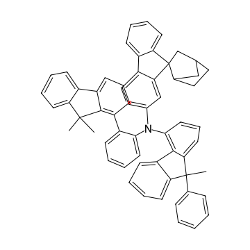 CC1(C)c2ccccc2-c2cccc(-c3ccccc3N(c3ccc4c(c3)C3(CC5CCC3C5)c3ccccc3-4)c3cccc4c3-c3ccccc3C4(C)c3ccccc3)c21